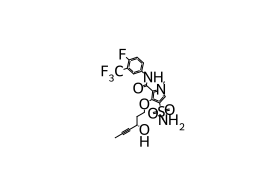 CC#C[C@@H](O)CCOc1c(S(N)(=O)=O)cn(C)c1C(=O)Nc1ccc(F)c(C(F)(F)F)c1